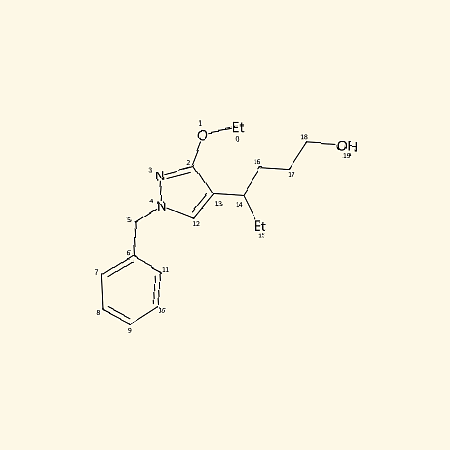 CCOc1nn(Cc2ccccc2)cc1C(CC)CCCO